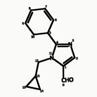 O=Cc1cnc(C2C=CC=CC2)n1CC1CC1